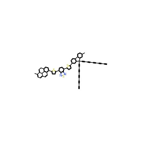 C#CC#CC#CC#CC#CC1(C#CC#CC#CC#CC#C)c2cc(C)ccc2-c2ccc(-c3ccc(-c4ccc(-c5ccc(-c6ccc7c8c6C=CC6=CC=C(C)C(=CC7)C68)s5)c5nsnc45)s3)cc21